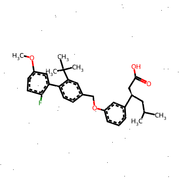 COc1ccc(F)c(-c2ccc(COc3cccc([C@@H](CC(=O)O)CC(C)C)c3)cc2C(C)(C)C)c1